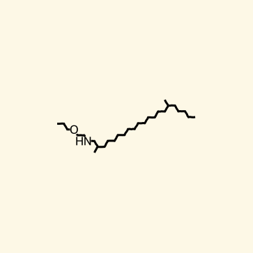 CCCCCC(C)CCCCCCCCCCCCCC(C)CNCCOCCC